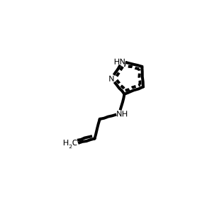 C=CCNc1cc[nH]n1